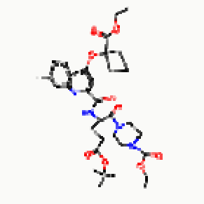 CCOC(=O)N1CCN(C(=O)C(CCC(=O)OC(C)(C)C)NC(=O)c2cc(OC3(C(=O)OCC)CCC3)c3ccc(C)cc3n2)CC1